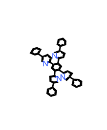 c1ccc(-c2ccc(-c3cc(-c4ccc(-c5ccccc5)cn4)c(-c4ccc(-c5ccccc5)cn4)cc3-c3ccc(-c4ccccc4)cn3)nc2)cc1